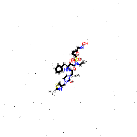 Cc1nc(CN2CCN([C@H](C(=O)N[C@@H](Cc3ccccc3)[C@@H](O)CN(CC(C)C)S(=O)(=O)c3ccc(C=NO)o3)C(C)C)C2=O)cs1